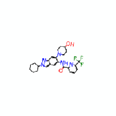 O=C(Nc1cc2cn(C3CCCCC3)nc2cc1N1CCC(O)CC1)c1cccc(C(F)(F)F)n1